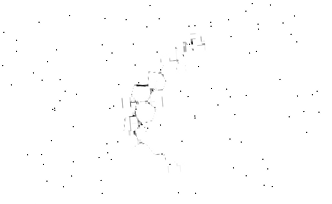 CCNNC(=O)O[C@H]1CC[C@@]2(C)C(=CC[C@H]3[C@@H]4CC[C@H]([C@H](C)CCCC(C)C)[C@@]4(C)CC[C@@H]32)C1